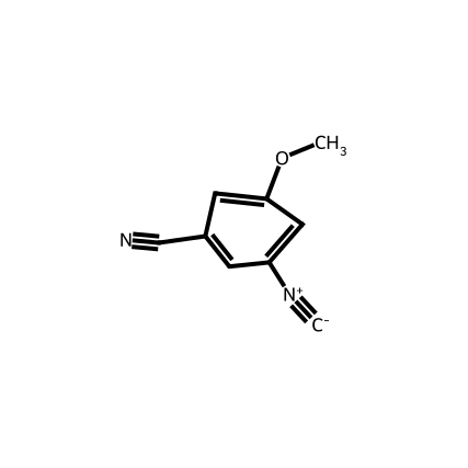 [C-]#[N+]c1cc(C#N)cc(OC)c1